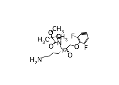 COC(C)(C)C(=O)N[C@@H](CCCCN)C(=O)COc1c(F)c#ccc1F